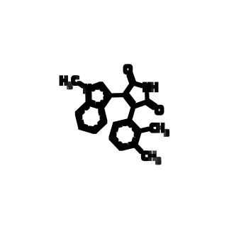 Cc1cccc(C2=C(c3cn(C)c4ccccc34)C(=O)NC2=O)c1C